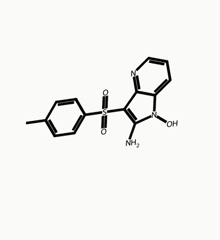 Cc1ccc(S(=O)(=O)c2c(N)n(O)c3cccnc23)cc1